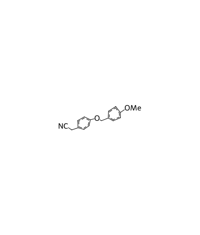 COc1ccc(COc2ccc(CC#N)cc2)cc1